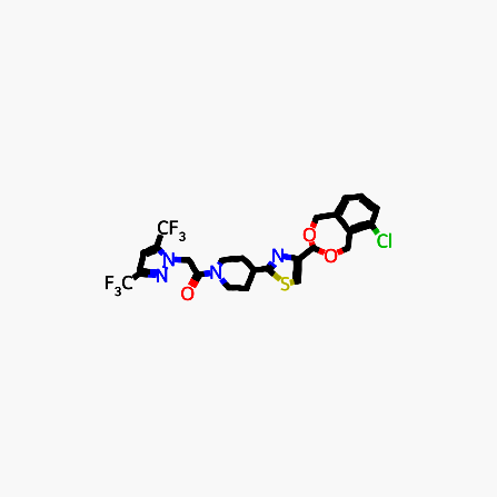 O=C(Cn1nc(C(F)(F)F)cc1C(F)(F)F)N1CCC(c2nc(C3OCc4cccc(Cl)c4CO3)cs2)CC1